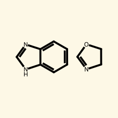 C1=NCCO1.c1ccc2[nH]cnc2c1